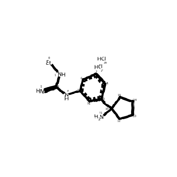 CCNC(=N)Nc1cccc(C2(N)CCCC2)c1.Cl.Cl